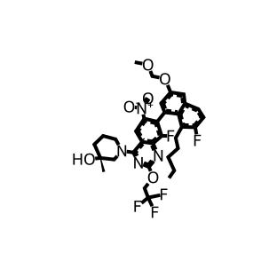 CCCCCc1c(F)ccc2cc(OCOC)cc(-c3c([N+](=O)[O-])cc4c(N5CCC[C@@](C)(O)C5)nc(OCC(F)(F)F)nc4c3F)c12